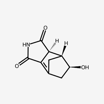 O=C1NC(=O)[C@@H]2C1=C1C[C@H]2[C@@H](O)C1